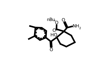 CCCCOC(=O)C1(C(N)=O)CCCCC1(O)C(=O)c1ccc(C)c(C)c1